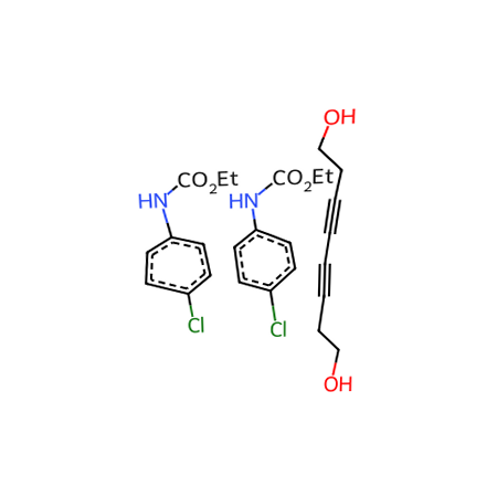 CCOC(=O)Nc1ccc(Cl)cc1.CCOC(=O)Nc1ccc(Cl)cc1.OCCC#CC#CCCO